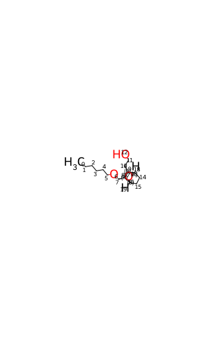 CCCCCCOC[C@H]1[C@@H](CCO)[C@H]2CC[C@@H]1O2